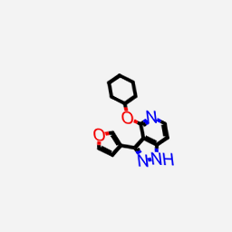 c1cc2[nH]nc(-c3ccoc3)c2c(OC2CCCCC2)n1